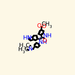 CCN(CC)Cc1ccc(N/C(=C2\C(=O)Nc3cc(C(=O)OC)ccc32)c2ccc3[nH]ccc3c2)cc1